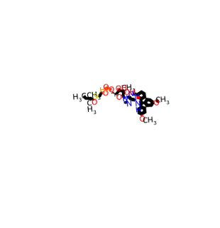 CCC(C)(C)C(=O)SCCO[PH](=O)OC[C@H]1OC(n2cnc3c(NC(c4ccccc4)(c4ccc(OC)cc4)c4ccc(OC)cc4)ncnc32)[C@@](C)(O)C1O